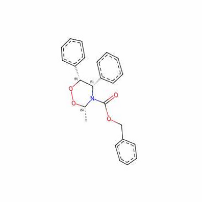 C[C@@H]1OO[C@H](c2ccccc2)[C@H](c2ccccc2)N1C(=O)OCc1ccccc1